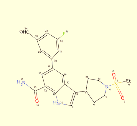 CCS(=O)(=O)N1CCC(c2c[nH]c3c(C(N)=O)cc(-c4cc(F)cc(C=O)c4)cc23)CC1